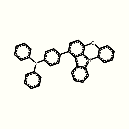 c1ccc(N(c2ccccc2)c2ccc(-c3ccc4c5c3c3ccccc3n5-c3ccccc3O4)cc2)cc1